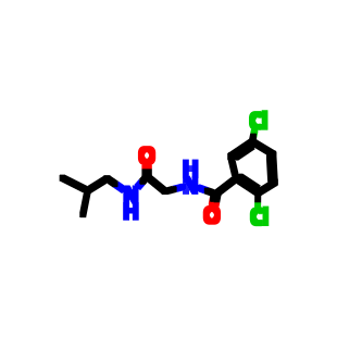 CC(C)CNC(=O)CNC(=O)c1cc(Cl)ccc1Cl